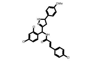 COc1ccc(C2CC(C(NC(=O)C=Cc3ccc(Cl)cc3)c3ccc(Cl)cc3Cl)=NN2)cc1